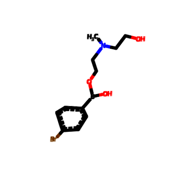 CN(CCO)CCOB(O)c1ccc(Br)cc1